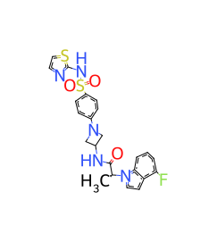 C[C@@H](C(=O)NC1CN(c2ccc(S(=O)(=O)Nc3nccs3)cc2)C1)n1ccc2c(F)cccc21